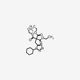 CCOC(=O)C(Cc1nnnn1C1CCCCC1)(C(=O)OCC)C(=O)OCC